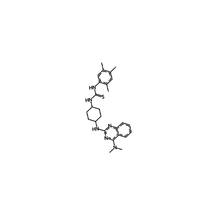 Cc1cc(C)c(NC(=S)NC2CCC(Nc3nc(N(C)C)c4ccccc4n3)CC2)cc1C